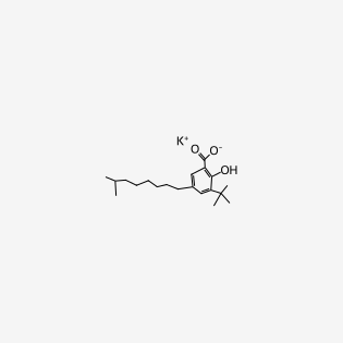 CC(C)CCCCCCc1cc(C(=O)[O-])c(O)c(C(C)(C)C)c1.[K+]